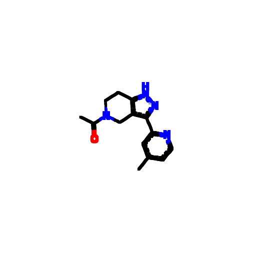 CC(=O)N1CCc2[nH]nc(-c3cc(C)ccn3)c2C1